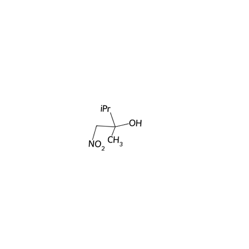 CC(C)C(C)(O)C[N+](=O)[O-]